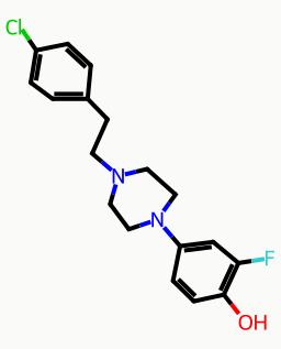 Oc1ccc(N2CCN(CCc3ccc(Cl)cc3)CC2)cc1F